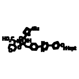 CCCCCCCOc1ccc(-c2cnc(-c3ccc(C[C@H](NC(=O)c4ccc(C(C)(C)C)s4)C(=O)NC(C(=O)O)C4CCOCC4)cc3)nc2)cc1